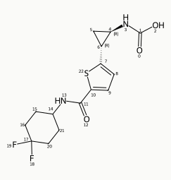 O=C(O)N[C@@H]1C[C@H]1c1ccc(C(=O)NC2CCC(F)(F)CC2)s1